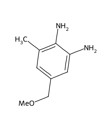 COCc1cc(C)c(N)c(N)c1